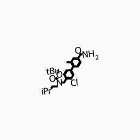 Cc1cc(C(N)=O)ccc1-c1ccc(CN(CCC(C)C)C(=O)OC(C)(C)C)c(Cl)c1